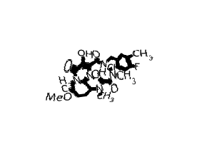 COC1(C)CCC(N(C)C(=O)C(=O)N(C)C)c2nc(C(=O)NCc3ccc(F)c(C)c3)c(O)c(=O)n2C1